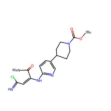 CNC(=O)/C(=C\C(=N)Cl)Nc1ccc(C2CCN(C(=O)OC(C)(C)C)CC2)cn1